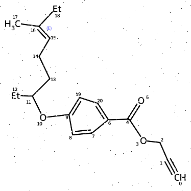 C#CCOC(=O)c1ccc(OC(CC)CC/C=C(\C)CC)cc1